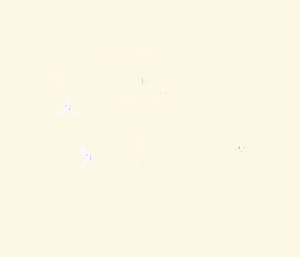 CCOC(C(=O)OC1(CC)C(=O)OCc2c1cc1n(c2=O)Cc2cc3ccccc3nc2-1)c1ccc(OC)cc1